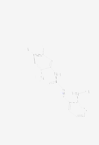 CNc1ncccc1/C=C/C(=O)Nc1cc(Cl)c(Cl)cc1N